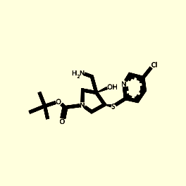 CC(C)(C)OC(=O)N1C[C@H](Sc2ccc(Cl)cn2)[C@@](O)(CN)C1